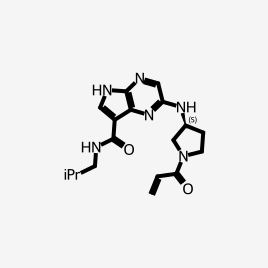 C=CC(=O)N1CC[C@H](Nc2cnc3[nH]cc(C(=O)NCC(C)C)c3n2)C1